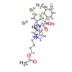 CC(=O)OCCCC[N+]12CCC(CC1)[C@@H](NC(=O)C(O)(c1ccc(F)c(C)c1)c1ccc(Br)s1)C2.[Br-]